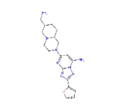 NCC1CCC2CN(c3cc(N)n4nc(-c5ccco5)nc4n3)CCN2C1